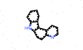 c1ccc2c(c1)[nH]c1ccc3ncccc3c12